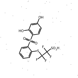 O=S(=O)(c1ccc(O)cc1O)c1ccccc1SC(F)(F)C(F)(F)S(=O)(=O)O